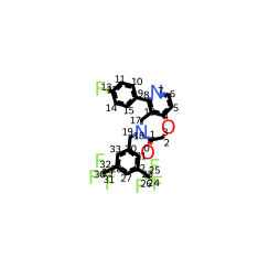 O=C1COc2ccnc(-c3ccc(F)cc3)c2CN1Cc1cc(C(F)(F)F)cc(C(F)(F)F)c1